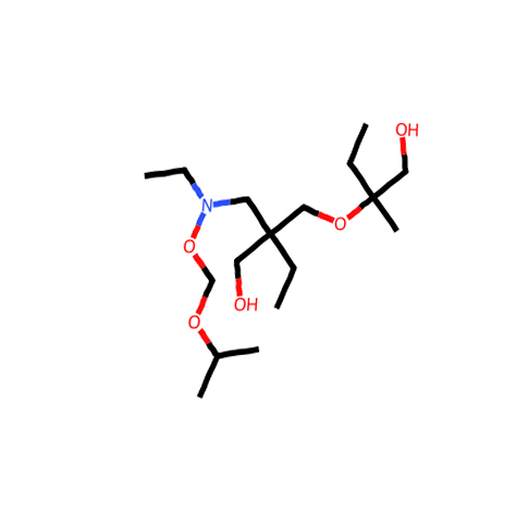 CCN(CC(CC)(CO)COC(C)(CC)CO)OCOC(C)C